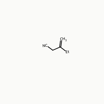 C=C(CC)CC#N